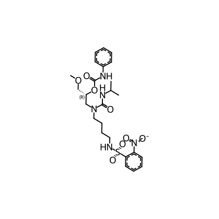 COC[C@@H](CN(CCCCNS(=O)(=O)c1ccccc1[N+](=O)[O-])C(=O)NC(C)C)OC(=O)Nc1ccccc1